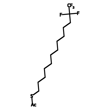 CC(=O)SCCCCCCCCCCCC(F)(F)C(F)(F)F